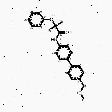 COCc1ccc(-c2ccc(NC(=O)C(C)(C)Oc3ccccc3)cc2)cc1